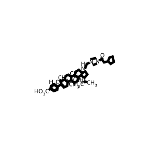 C=C(C)[C@@H]1CC[C@]2(NCCN3CCN(C(=O)CC4CCCC4)CC3)CC[C@]3(C)[C@H](CCC4[C@@]5(C)CC=C(c6ccc(C(=O)O)cc6)C(C)(C)C5CC[C@]43C)C12